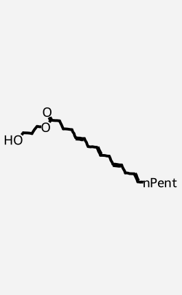 CCCCCC=CCC=CCC=CCC=CCCCC(=O)OCCCO